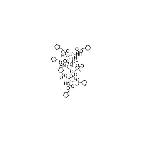 CN1C(=O)OC2C3O[C@H](O[C@H]4C(O)[C@@H]5[C@H](NC(=O)OCc6ccccc6)CI5C4NC(=O)OCc4ccccc4)[C@@H](NC(=O)OCc4ccccc4)C[C@@H]3OC(O[C@H]3OC(COC(=O)c4ccccc4)[C@@H](NC(=O)OCc4ccccc4)C[C@@H]3OC(=O)c3ccccc3)C21